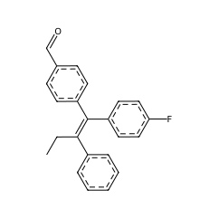 CCC(=C(c1ccc(F)cc1)c1ccc(C=O)cc1)c1ccccc1